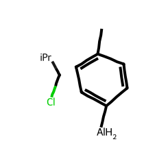 CC(C)CCl.Cc1cc[c]([AlH2])cc1